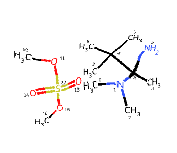 CN(C)C(C)(N)C(C)(C)C.COS(=O)(=O)OC